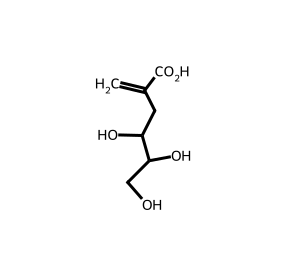 C=C(CC(O)C(O)CO)C(=O)O